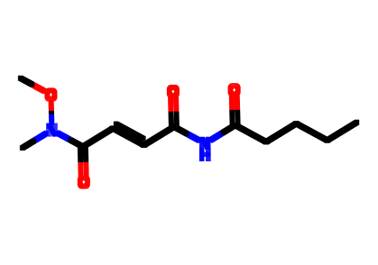 CCCCC(=O)NC(=O)/C=C/C(=O)N(C)OC